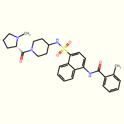 Cc1ccccc1C(=O)Nc1ccc(S(=O)(=O)NC2CCN(C(=O)[C@@H]3CCCN3C)CC2)c2ccccc12